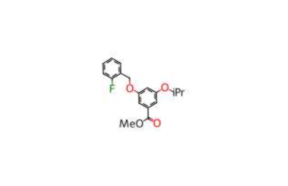 COC(=O)c1cc(OCc2ccccc2F)cc(OC(C)C)c1